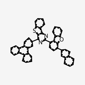 c1ccc2cc(-c3ccc(-c4nc(-c5ccc6c7ccccc7c7ccccc7c6c5)c5sc6ccccc6c5n4)c4c3oc3ccccc34)ccc2c1